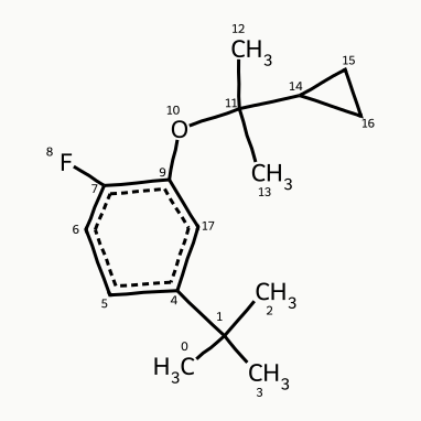 CC(C)(C)c1ccc(F)c(OC(C)(C)C2CC2)c1